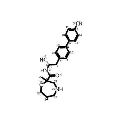 CC1(C(=O)N[C@H](C#N)Cc2ccc(-c3ccc(C#N)cc3)cc2)CNCCCO1